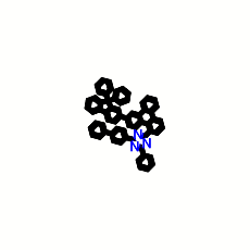 c1ccc(-c2ccc(-c3nc(-c4ccccc4)nc(-c4cccc5c6ccccc6c6cc(-c7ccc8c(c7)C(c7ccccc7)(c7ccccc7)c7ccccc7-8)ccc6c45)n3)cc2)cc1